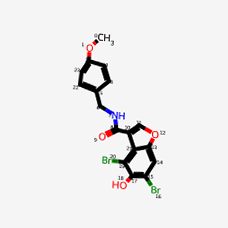 COc1ccc(CNC(=O)c2coc3cc(Br)c(O)c(Br)c23)cc1